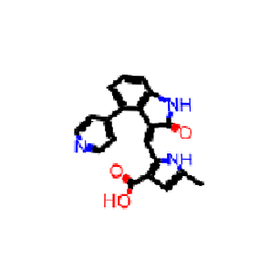 Cc1cc(C(=O)O)c(C=C2C(=O)Nc3cccc(-c4ccncc4)c32)[nH]1